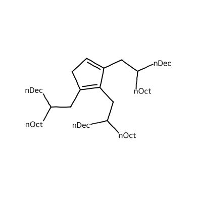 CCCCCCCCCCC(CCCCCCCC)CC1=CCC(CC(CCCCCCCC)CCCCCCCCCC)=C1CC(CCCCCCCC)CCCCCCCCCC